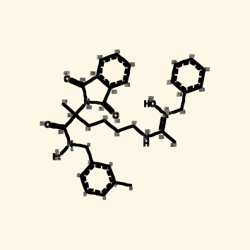 CCN(Cc1cccc(C)c1)C(=O)C(C)(CCCCNC(C)=[N+](O)Cc1ccccc1)N1C(=O)c2ccccc2C1=O